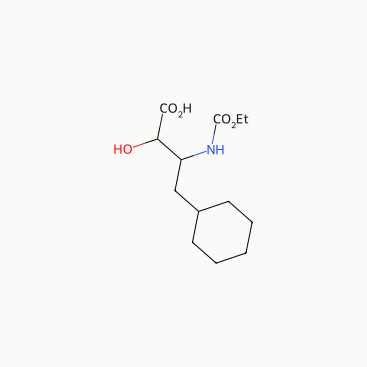 CCOC(=O)NC(CC1CCCCC1)C(O)C(=O)O